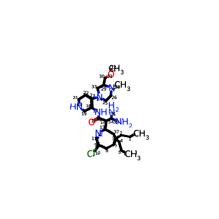 CCCC1(CCC)CCC(Cl)/C=N\C(C(C(=O)NC2CNCCC2N2CCN(C)C(COC)C2)C(N)N)C1